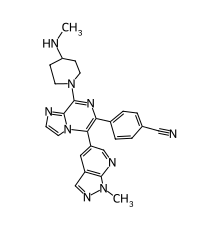 CNC1CCN(c2nc(-c3ccc(C#N)cc3)c(-c3cnc4c(cnn4C)c3)n3ccnc23)CC1